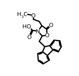 COCCC1C(=O)OC(CC2c3ccccc3-c3ccccc32)N1C(=O)O